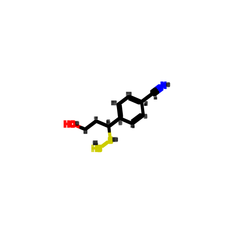 N#Cc1ccc(C(CCO)SS)cc1